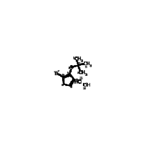 CC(C)(C)SC1=[C]([Ti])CC=C1.Cl.Cl